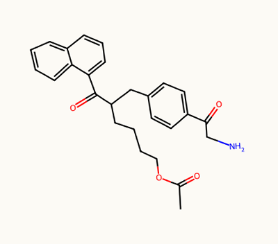 CC(=O)OCCCCC(Cc1ccc(C(=O)CN)cc1)C(=O)c1cccc2ccccc12